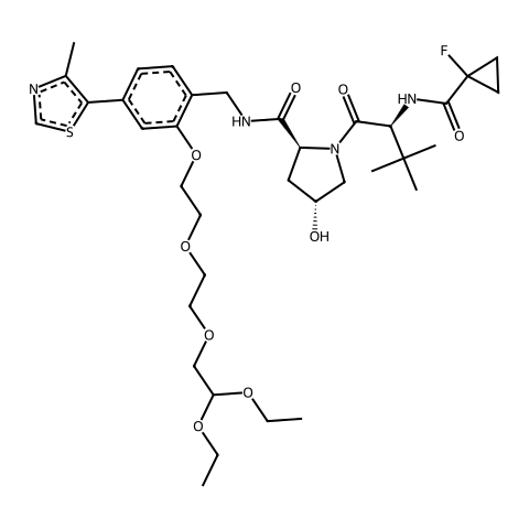 CCOC(COCCOCCOc1cc(-c2scnc2C)ccc1CNC(=O)[C@@H]1C[C@@H](O)CN1C(=O)[C@@H](NC(=O)C1(F)CC1)C(C)(C)C)OCC